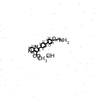 COC(=O)c1cc(-c2ccc(-c3ccc(OCCN)cc3)cc2)nc2ccncc12.Cl